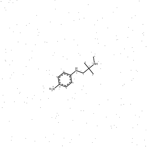 CNC(C)(C)CNc1ccc(N)cc1